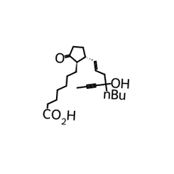 CC#CC(O)(CC=C[C@H]1CCC(=O)[C@@H]1CCCCCCC(=O)O)CCCC